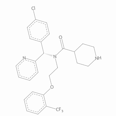 O=C(C1CCNCC1)N(CCOc1ccccc1C(F)(F)F)[C@@H](c1ccc(Cl)cc1)c1ccccn1